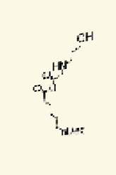 CCCCCCCCCCCCCCCC(=O)OC(=O)CNCCCO